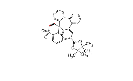 CC1(C)OB(c2ccc3c(c2)-c2ccccc2-c2ccccc2C32c3ccccc3S(=O)(=O)c3ccccc32)OC1(C)C